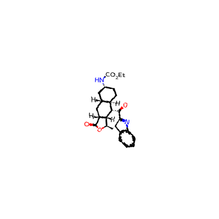 CCOC(=O)N[C@@H]1CC[C@@H]2[C@@H](C1)C[C@H]1C(=O)O[C@H](C)[C@H]1[C@H]2C(=O)C1=Nc2ccccc2C1